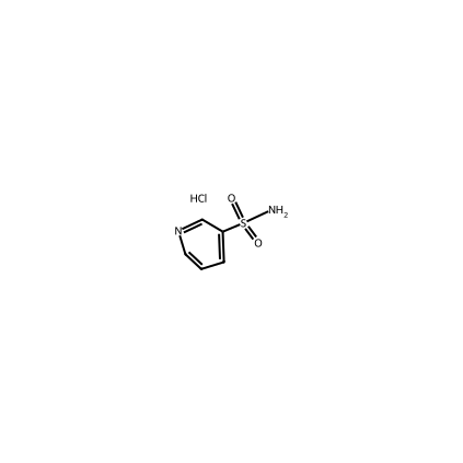 Cl.NS(=O)(=O)c1cccnc1